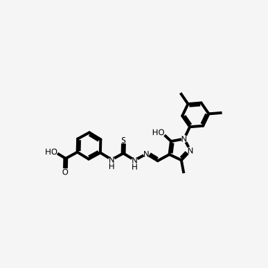 Cc1cc(C)cc(-n2nc(C)c(C=NNC(=S)Nc3cccc(C(=O)O)c3)c2O)c1